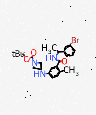 Cc1ccc(NC2CN(C(=O)OC(C)(C)C)C2)cc1C(=O)NC(C)c1cccc(Br)c1